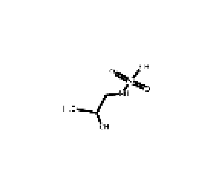 CC(C)CNS(C)(=O)=O